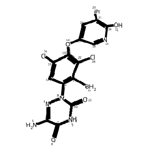 Bc1c(-n2nc(N)c(=O)[nH]c2=O)cc(Cl)c(Oc2cnc(O)c(C(C)C)c2)c1Cl